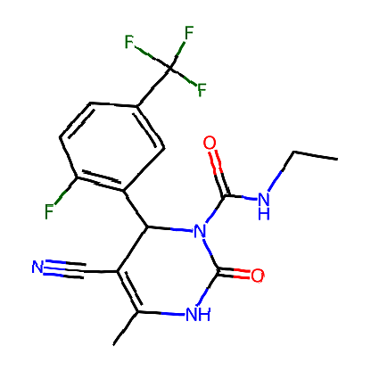 CCNC(=O)N1C(=O)NC(C)=C(C#N)C1c1cc(C(F)(F)F)ccc1F